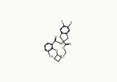 CCOC(=O)C1(NC(=O)c2cccc(C)c2OC2CCC2)Cc2cc(F)c(F)cc2C1